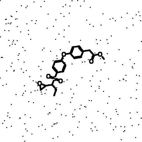 CCC(C1CO1)S(=O)(=O)c1ccc(Oc2ccc(CC(=O)OC)cc2)cc1